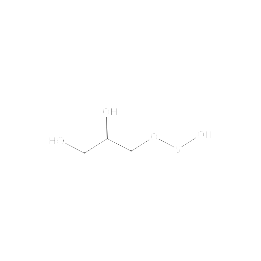 OCC(O)COSO